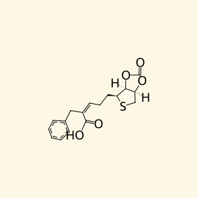 O=C1O[C@H]2[C@H](CS[C@H]2CCC=C(Cc2ccccc2)C(=O)O)O1